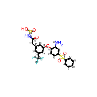 Nc1cc(S(=O)(=O)c2ccccc2)ccc1Oc1cc(CC(=O)NS(=O)O)cc(C(F)(F)F)c1